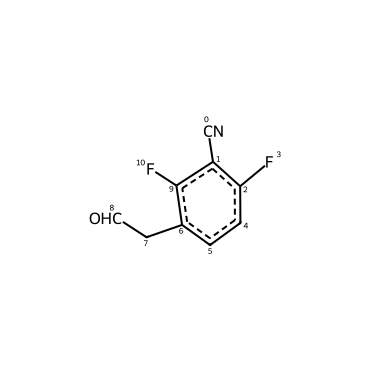 N#Cc1c(F)ccc(CC=O)c1F